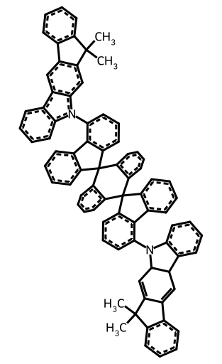 CC1(C)C2=CC3C(C=C2c2ccccc21)c1ccccc1N3c1cccc2c1-c1ccccc1C21c2ccccc2C2(c3ccccc3-c3c(-n4c5ccccc5c5cc6c(cc54)C(C)(C)c4ccccc4-6)cccc32)c2ccccc21